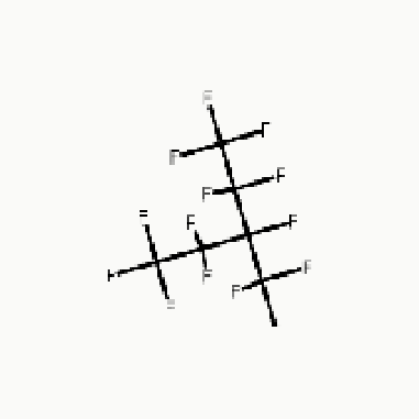 [CH2]C(F)(F)C(F)(C(F)(F)C(F)(F)F)C(F)(F)C(F)(F)F